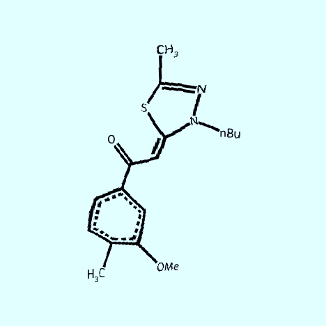 CCCCN1N=C(C)SC1=CC(=O)c1ccc(C)c(OC)c1